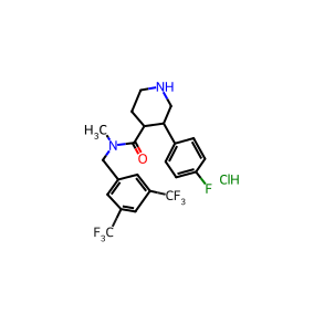 CN(Cc1cc(C(F)(F)F)cc(C(F)(F)F)c1)C(=O)C1CCNCC1c1ccc(F)cc1.Cl